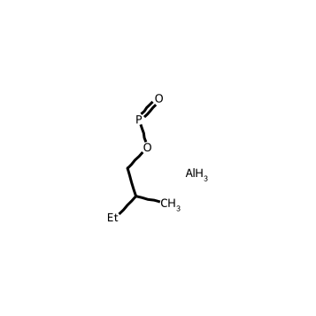 CCC(C)COP=O.[AlH3]